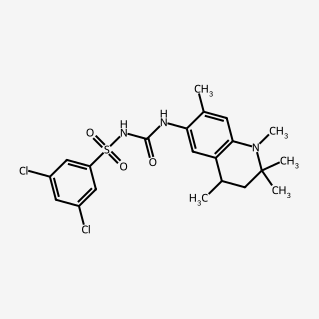 Cc1cc2c(cc1NC(=O)NS(=O)(=O)c1cc(Cl)cc(Cl)c1)C(C)CC(C)(C)N2C